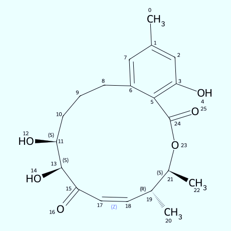 Cc1cc(O)c2c(c1)CCC[C@H](O)[C@H](O)C(=O)/C=C\[C@@H](C)[C@H](C)OC2=O